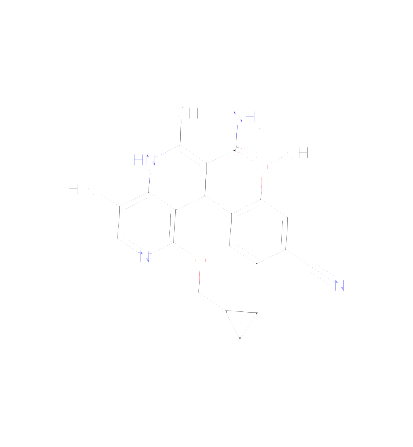 COc1cc(C#N)ccc1C1C(C(N)=O)=C(C)Nc2c(C)cnc(OCC3CC3)c21